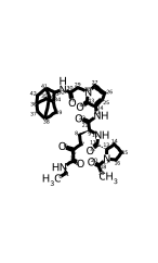 CCNC(=O)C(=O)CC[C@H](NC(=O)[C@@H]1CCCN1C(C)=O)C(=O)Nc1cccn(CC(=O)NC2C3CC4CC(C3)CC2C4)c1=O